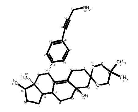 CC1(C)COC2(CCC3=C4C(CCC3(O)C2)C2CCC(O)[C@@]2(C)C[C@@H]4c2ccc(C#CCN)cc2)OC1